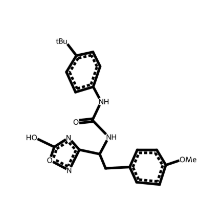 COc1ccc(CC(NC(=O)Nc2ccc(C(C)(C)C)cc2)c2noc(O)n2)cc1